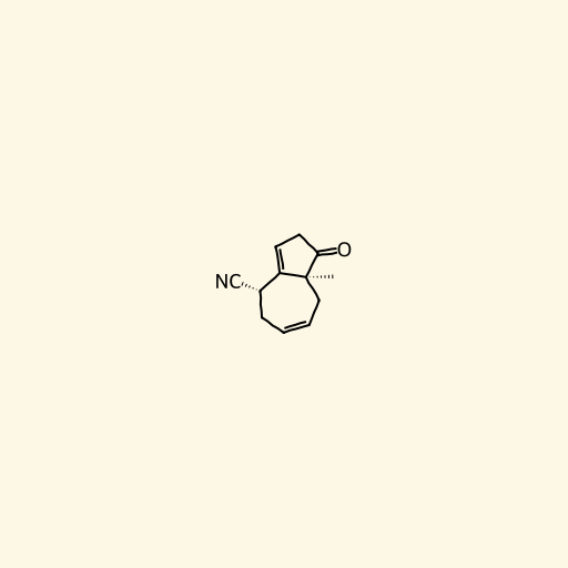 C[C@]12CC=CC[C@H](C#N)C1=CCC2=O